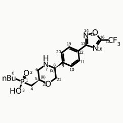 CCCCP(=O)(O)C[C@H]1CN[C@@H](c2ccc(-c3noc(C(F)(F)F)n3)cc2)CO1